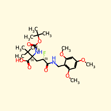 COc1cc(OC)c(CNC(=O)[C@@H](F)C[C@@](NC(=O)OC(C)(C)C)(C(=O)O)C(C)(C)C)c(OC)c1